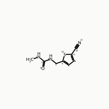 CNC(=O)NCc1ccc(C#N)s1